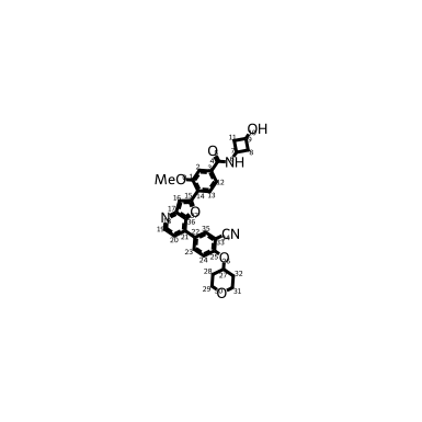 COc1cc(C(=O)NC2CC(O)C2)ccc1-c1cc2nccc(-c3ccc(OC4CCOCC4)c(C#N)c3)c2o1